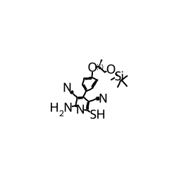 C[C@@H](CO[Si](C)(C)C(C)(C)C)Oc1ccc(-c2c(C#N)c(N)nc(S)c2C#N)cc1